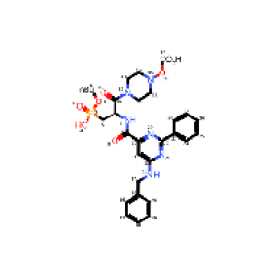 CCCCOP(=O)(O)C[C@H](NC(=O)c1cc(NCc2ccccc2)nc(-c2ccccc2)n1)C(=O)N1CCN(OC(=O)O)CC1